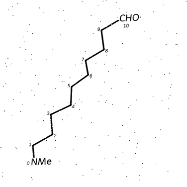 CNCCCCCCCCC[C]=O